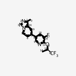 Cc1nnn2ccc(-c3cnc(O[C@H](C)C(F)(F)F)c(F)c3)cc12